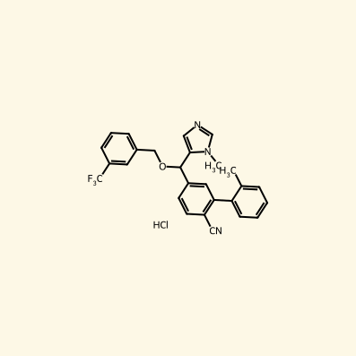 Cc1ccccc1-c1cc(C(OCc2cccc(C(F)(F)F)c2)c2cncn2C)ccc1C#N.Cl